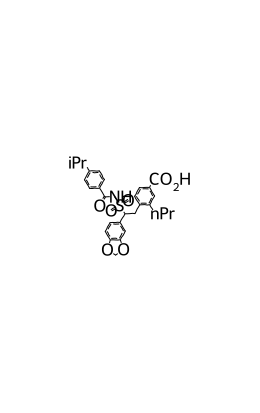 CCCc1cc(C(=O)O)ccc1CC(c1ccc2c(c1)OCO2)S(=O)(=O)NC(=O)c1ccc(C(C)C)cc1